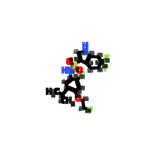 C=C(C)c1cc(NS(=O)(=O)c2c[nH]c3c2CCC(F)(F)C3)c(F)cc1OCCF